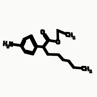 CCCCCCC(C(=O)OCC)c1ccc(N)cc1